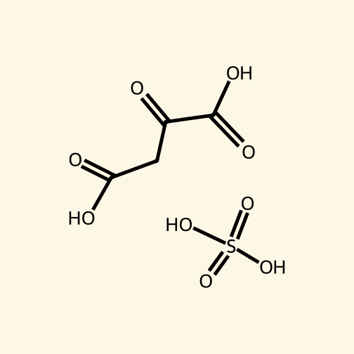 O=C(O)CC(=O)C(=O)O.O=S(=O)(O)O